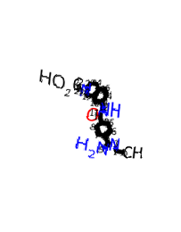 C#CCN=C(N)c1ccc(C(=O)Nc2ccc3c(c2)CN(CC(=O)O)CC3)cc1